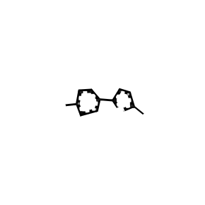 Cc1ccc(-c2ccc(F)cc2)o1